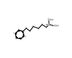 CCCCCCCC[SiH](CCCCCCCC)CCCCCCc1ccccc1